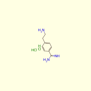 Cl.Cl.N=C(N)c1ccc(CCN)cc1